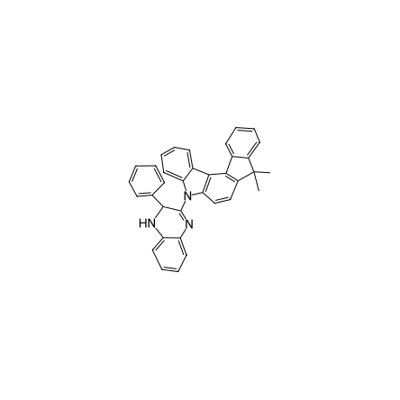 CC1(C)c2ccccc2-c2c1ccc1c2c2ccccc2n1C1=Nc2ccccc2NC1c1ccccc1